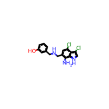 Nc1c(CNCc2cccc(O)c2)cc(Cl)c2c(Cl)c[nH]c12